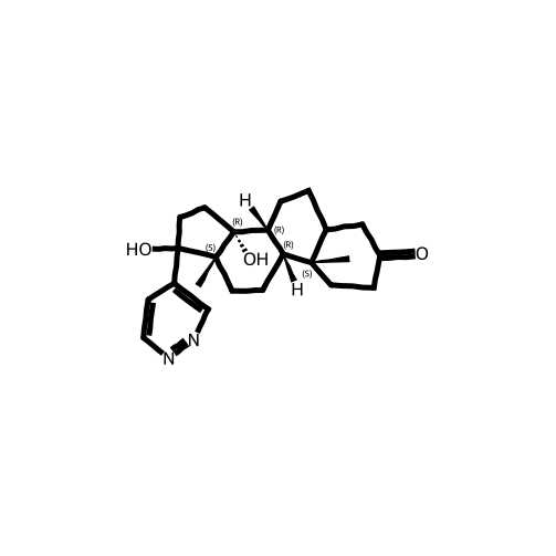 C[C@]12CCC(=O)CC1CC[C@@H]1[C@H]2CC[C@]2(C)C(O)(c3ccnnc3)CC[C@@]12O